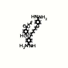 CCCOC(=O)c1ccc(O)cc1.N=C(N)c1ccc(OCCCCCCOc2ccc(C(=N)N)cc2)cc1